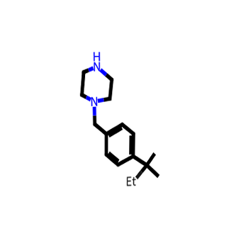 CCC(C)(C)c1ccc(CN2CCNCC2)cc1